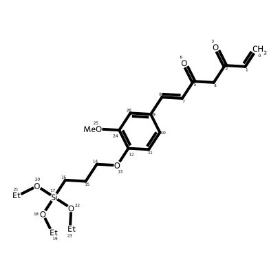 C=CC(=O)CC(=O)C=Cc1ccc(OCCC[Si](OCC)(OCC)OCC)c(OC)c1